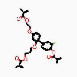 C=C(C)C(=O)OCCCOc1cc(OCCOC(=O)C(=C)C)ccc1-c1ccc(OC(=O)C(=C)C)c(F)c1